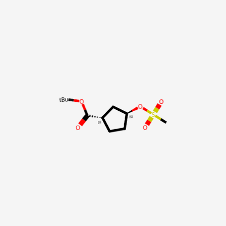 CC(C)(C)OC(=O)[C@H]1CC[C@H](OS(C)(=O)=O)C1